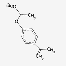 C=C(C)c1ccc(OC(C)OCC(C)C)cc1